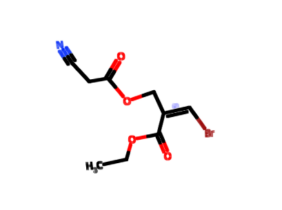 CCOC(=O)/C(=C\Br)COC(=O)CC#N